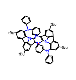 CC(C)(C)c1cc(N(c2ccccc2)c2ccccc2)c2c(c1)c1cc(C(C)(C)C)cc3c4nc5c(nc4n2c13)c1cc(C(C)(C)C)cc2c3cc(C(C)(C)C)cc(N(c4ccccc4)c4ccccc4)c3n5c21